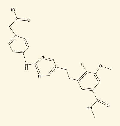 CNC(=O)c1cc(CCc2cnc(Nc3ccc(CC(=O)O)cc3)nc2)c(F)c(OC)c1